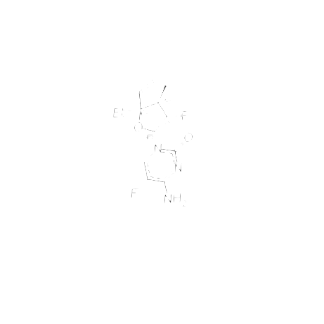 C=C[C@]1(CC)O[C@@H](n2cc(F)c(N)nc2=O)[C@@H](F)[C@@H]1C